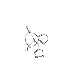 c1ccc2c(c1)C[C@H]1CC[C@@H](C2)N(Cc2cn[nH]c2)C1